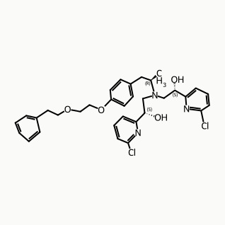 C[C@H](Cc1ccc(OCCOCCc2ccccc2)cc1)N(C[C@H](O)c1cccc(Cl)n1)C[C@H](O)c1cccc(Cl)n1